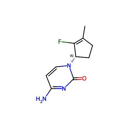 CC1=C(F)[C@@H](n2ccc(N)nc2=O)CC1